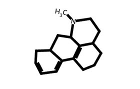 CN1CCC2CCCC3=C2C1CC1CC=CC=C31